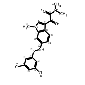 CN(C)C(=O)C(=O)c1cn(C)c2cc(NSc3cc(Cl)cc(Cl)c3)ccc12